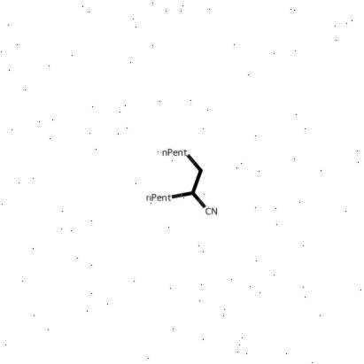 CCCCCCC(C#N)CCCCC